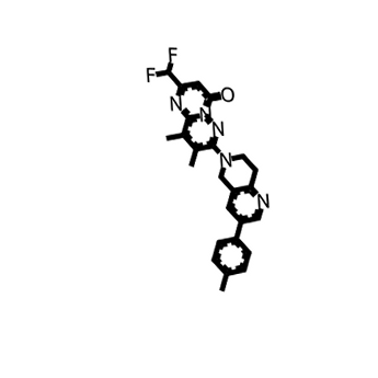 Cc1ccc(-c2cnc3c(c2)CN(c2nn4c(=O)cc(C(F)F)nc4c(C)c2C)CC3)cc1